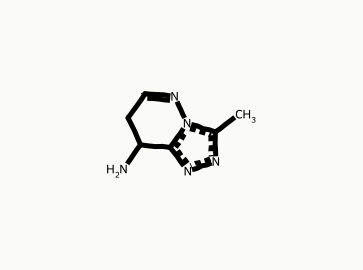 Cc1nnc2n1N=[C]CC2N